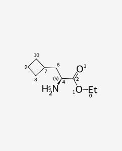 CCOC(=O)[C@@H](N)CC1CCC1